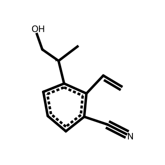 C=Cc1c(C#N)cccc1[C](C)CO